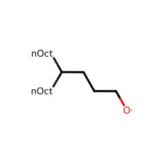 CCCCCCCCC(CCC[O])CCCCCCCC